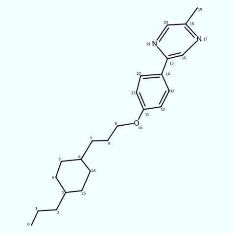 CCCC1CCC(CCCOc2ccc(-c3cnc(C)cn3)cc2)CC1